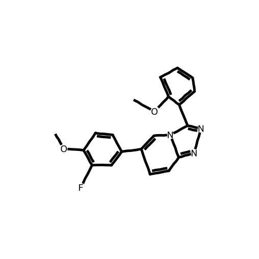 COc1ccc(-c2ccc3nnc(-c4ccccc4OC)n3c2)cc1F